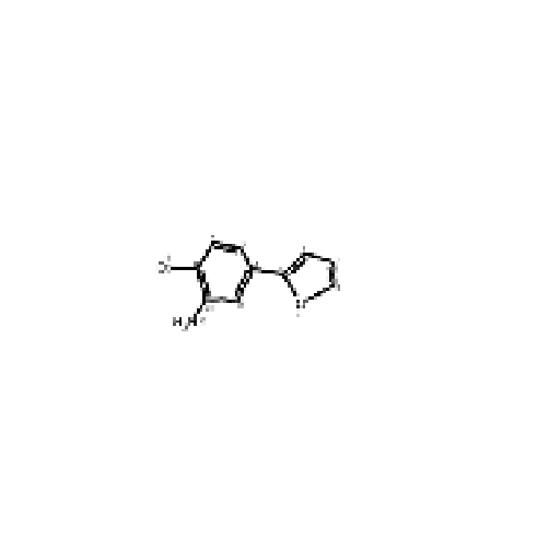 CCc1ccc(-c2ccco2)cc1N